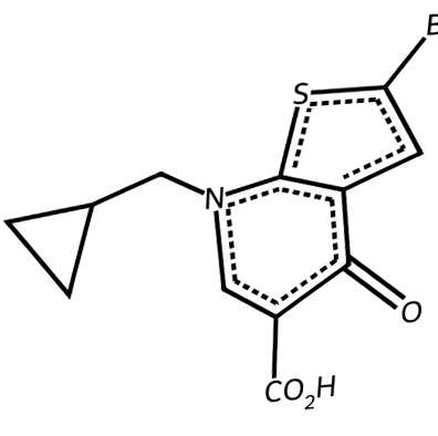 O=C(O)c1cn(CC2CC2)c2sc(Br)cc2c1=O